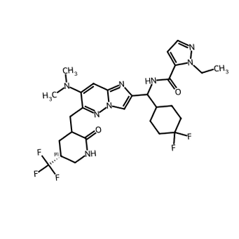 CCn1nccc1C(=O)NC(c1cn2nc(CC3C[C@@H](C(F)(F)F)CNC3=O)c(N(C)C)cc2n1)C1CCC(F)(F)CC1